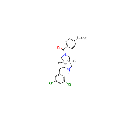 CC(=O)Nc1ccc(C(=O)N2C[C@H]3CNC(Cc4cc(Cl)cc(Cl)c4)[C@@H]3C2)cc1